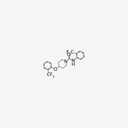 O=C(Nc1ccccc1C(F)(F)F)N1CCC(Oc2ccccc2C(F)(F)F)CC1